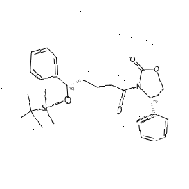 CC(C)(C)[Si](C)(C)O[C@@H](CCCC(=O)N1C(=O)OC[C@@H]1c1ccccc1)c1ccccc1